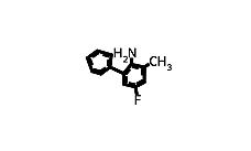 Cc1cc(F)cc(-c2ccccc2)c1N